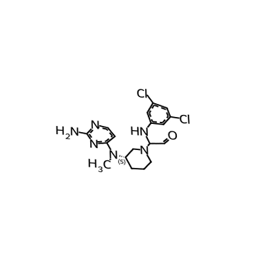 CN(c1ccnc(N)n1)[C@H]1CCCN(C(C=O)Nc2cc(Cl)cc(Cl)c2)C1